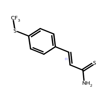 NC(=S)/C=C/c1ccc(SC(F)(F)F)cc1